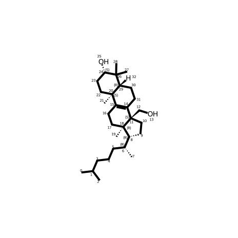 CC(C)CCC[C@@H](C)[C@H]1CC[C@@]2(CO)C3=C(CC[C@]12C)[C@@]1(C)CC[C@H](O)C(C)(C)[C@@H]1CC3